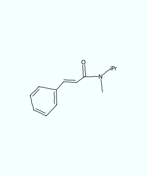 CC(C)N(C)C(=O)/C=C/c1ccccc1